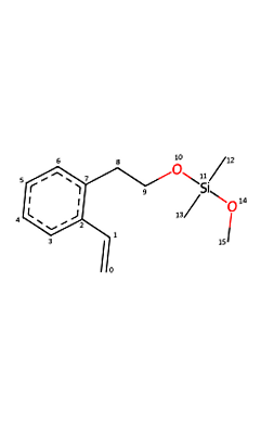 C=Cc1ccccc1CCO[Si](C)(C)OC